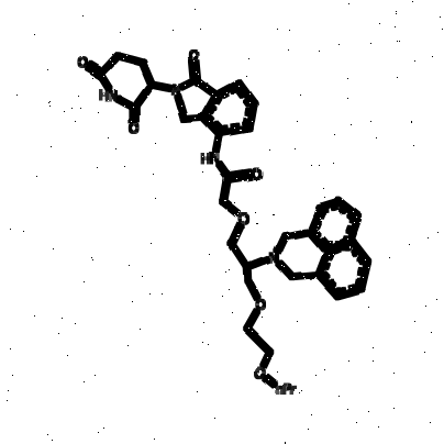 CCCOCCOCC(COCC(=O)Nc1cccc2c1CN(C1CCC(=O)NC1=O)C2=O)N(Cc1ccccc1)Cc1ccccc1